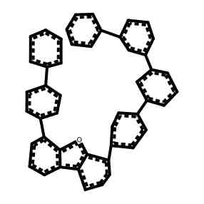 c1ccc(-c2ccc(-c3cccc4c3oc3c(-c5ccc(-c6cccc(-c7cccc(-c8ccccc8)c7)c6)cc5)cccc34)cc2)cc1